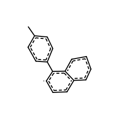 Cc1ccc(-c2[c]ccc3ccccc23)cc1